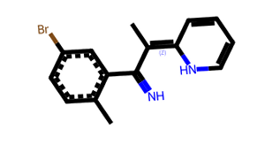 C/C(C(=N)c1cc(Br)ccc1C)=C1\C=CC=CN1